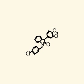 O=C1C(c2ccc3c(c2)OCO3)c2ccccc2N1Cc1ccc(Cl)cc1